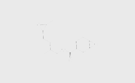 CC(CCC1OC1C)COC(=O)C1CCC2OC2C1